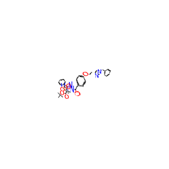 CC(C)(C)OC(=O)[C@H](CN(N)C(=O)c1ccc(OCCc2cn(Cc3ccccc3)cn2)cc1)S(=O)(=O)c1ccccc1